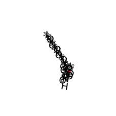 O=C1CCC(N2C(=O)c3cccc([S+]([O-])CCOCCOCCOCCOCCOCCI)c3C2=O)C(=O)N1